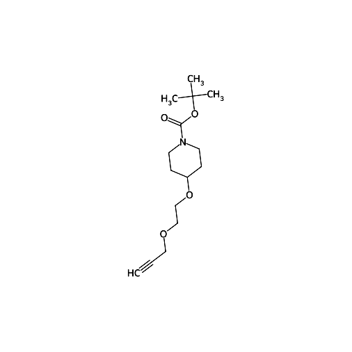 C#CCOCCOC1CCN(C(=O)OC(C)(C)C)CC1